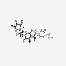 CCCC1CCC(c2ccc3cc(OC(F)(F)c4cc(F)c(F)c(F)c4)c(F)c(F)c3c2F)CC1